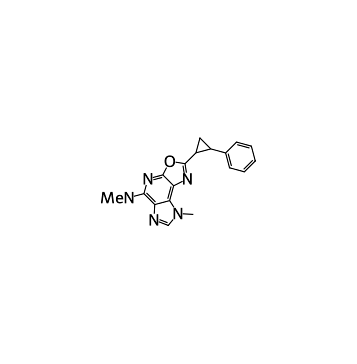 CNc1nc2oc(C3CC3c3ccccc3)nc2c2c1ncn2C